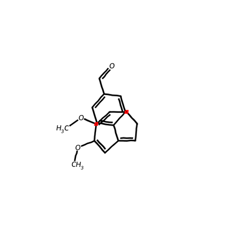 COC1=C/CC/C=C(c2ccc(C=O)cc2)/C=C\1OC